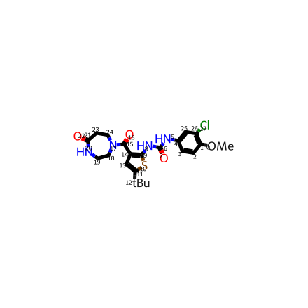 COc1ccc(NC(=O)Nc2sc(C(C)(C)C)cc2C(=O)N2CCNC(=O)CC2)cc1Cl